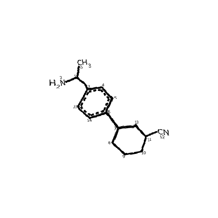 CC(N)c1ccc(C2CCCC(C#N)C2)cc1